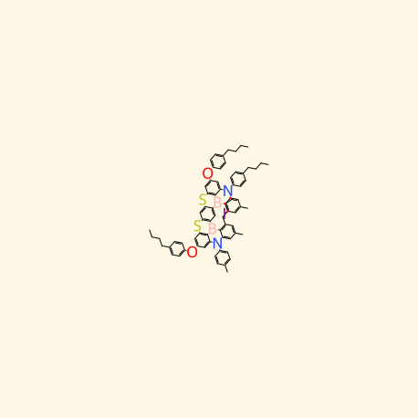 CCCCc1ccc(Oc2cc3c4c(c2)N(c2ccc(CCCC)cc2)c2cc(C)cc(I)c2B4c2cc4c(cc2S3)Sc2cc(Oc3ccc(CCCC)cc3)cc3c2B4c2c(CCCC)cc(C)cc2N3c2ccc(C)cc2)cc1